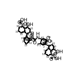 Cc1c2ccc(c1NC(=O)Nc1c3ccc(c1C)N(c1ccc(O)c4c(S(=O)(=O)O)cccc14)S3(=O)=O)S(=O)(=O)N2c1ccc(O)c2c(S(=O)(=O)O)cccc12